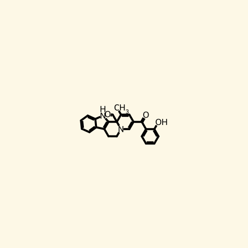 CC1=CC(C(=O)c2ccccc2O)=CN2CCc3c([nH]c4ccccc34)C12C=O